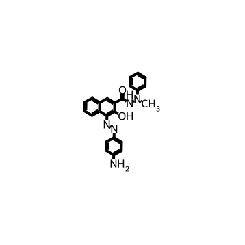 CN(NC(=O)c1cc2ccccc2c(N=Nc2ccc(N)cc2)c1O)c1ccccc1